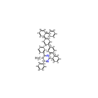 CC1C(c2ccccc2)=NC(c2ccccc2-c2ccc(C3=CC/C(=c4/cccc/c4=C4\C=CC=CC4)C=C3)cc2)=NC1c1ccccc1